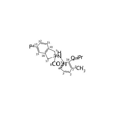 Cc1cccc(NC2(C(=O)O)Cc3ccc(F)cc3C2)c1OC(C)C